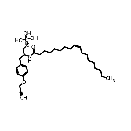 C#CCOc1ccc(CC(CO[PH](O)(O)O)NC(=O)CCCCCCC/C=C\CCCCCCCC)cc1